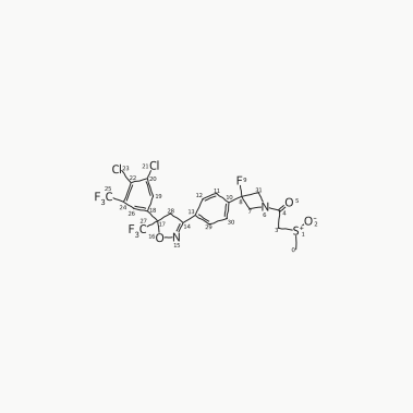 C[S+]([O-])CC(=O)N1CC(F)(c2ccc(C3=NOC(c4cc(Cl)c(Cl)c(C(F)(F)F)c4)(C(F)(F)F)C3)cc2)C1